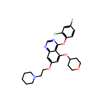 Fc1ccc(Oc2ncnc3cc(OCCN4CCCCC4)cc(OC4CCOCC4)c23)c(Cl)c1